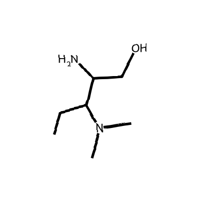 CCC(C(N)CO)N(C)C